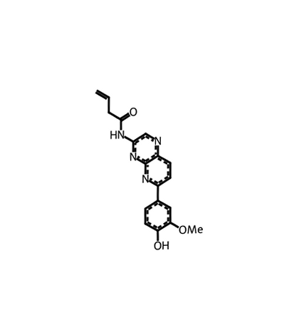 C=CCC(=O)Nc1cnc2ccc(-c3ccc(O)c(OC)c3)nc2n1